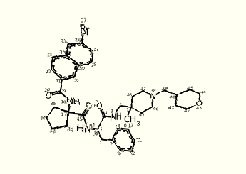 CC1(CNC(=O)[C@@H](Cc2ccccc2)NC(=O)C2(NC(=O)c3ccc4cc(Br)ccc4c3)CCCC2)CCN(CC2CCOCC2)CC1